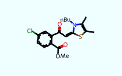 CCCCN1C(=CC(=O)c2cc(Cl)ccc2C(=O)OC)SC(C)=C1C